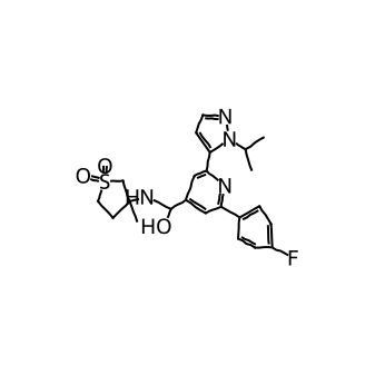 CC(C)n1nccc1-c1cc(C(O)NC2(C)CCS(=O)(=O)C2)cc(-c2ccc(F)cc2)n1